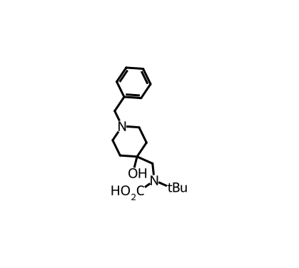 CC(C)(C)N(CC1(O)CCN(Cc2ccccc2)CC1)C(=O)O